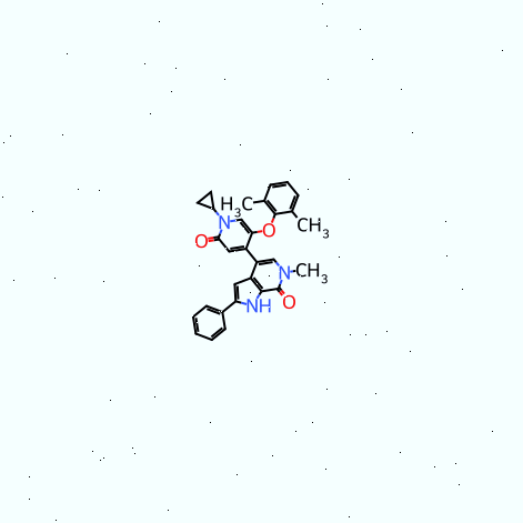 Cc1cccc(C)c1Oc1cn(C2CC2)c(=O)cc1-c1cn(C)c(=O)c2[nH]c(-c3ccccc3)cc12